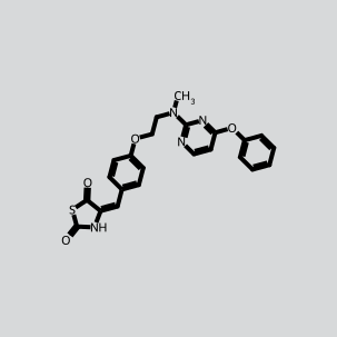 CN(CCOc1ccc(C=C2NC(=O)SC2=O)cc1)c1nccc(Oc2ccccc2)n1